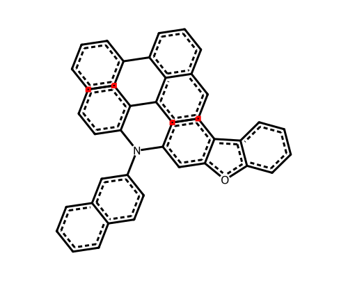 c1ccc(-c2cccc3cccc(-c4ccccc4N(c4ccc5ccccc5c4)c4ccc5c(c4)oc4ccccc45)c23)cc1